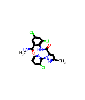 CNC(=O)c1cc(Cl)cc(Cl)c1NC(=O)c1cc(C)nn1-c1ncccc1Cl